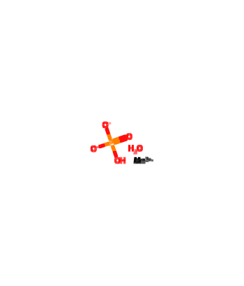 O.O=P([O-])([O-])O.[Mn+2]